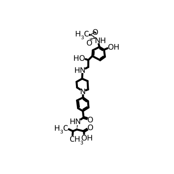 CC(C)[C@H](NC(=O)c1ccc(N2CCC(NCC(O)c3ccc(O)c(NS(C)(=O)=O)c3)CC2)cc1)C(=O)O